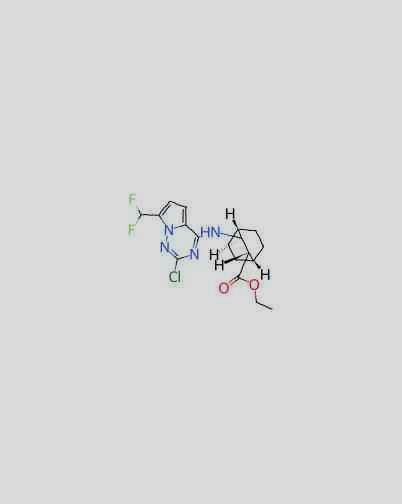 CCOC(=O)[C@H]1[C@H]2CC[C@H](CC2)[C@@H]1Nc1nc(Cl)nn2c(C(F)F)ccc12